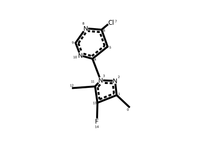 Cc1nn(-c2cc(Cl)ncn2)c(C)c1F